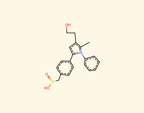 Cc1c(CCO)cc(-c2ccc(CS(=O)O)cc2)n1-c1ccccc1